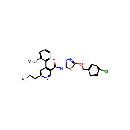 COc1ccccc1-c1cc(CCC#N)ncc1C(=O)Nc1nnc(OCc2ccc(Cl)cc2)s1